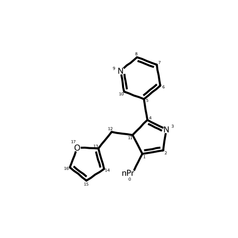 CCCC1=CN=C(c2cccnc2)C1Cc1ccco1